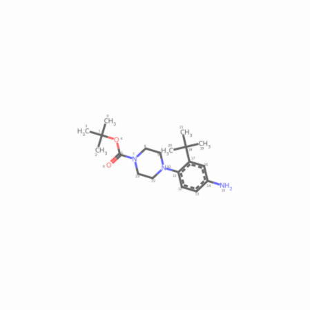 CC(C)(C)OC(=O)N1CCN(c2ccc(N)cc2C(C)(C)C)CC1